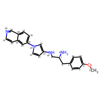 COc1ccc(C[C@H](N)CNc2ccn(-c3ccc4cnccc4c3)c2)cc1